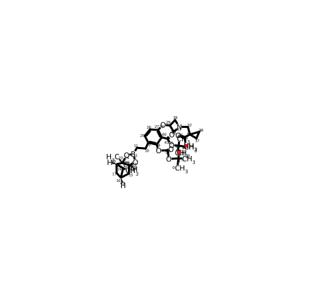 CC(C)(C)OC(=O)Oc1c(CCB2O[C@@H]3C[C@@H]4C[C@@H](C4(C)C)[C@]3(C)O2)ccc(OC2CN(CC3(C(N)=O)CC3)C2)c1C(=O)OC(C)(C)C